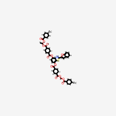 CC(=O)C1CCC(C(=O)OCOC(=O)C2CCC(C(=O)Oc3ccc(OC(=O)C4CCC(C(=O)OC(C)OC(=O)C5CCC(C(C)=O)CC5)CC4)c4nc(-c5cc6ccccc6o5)sc34)CC2)CC1